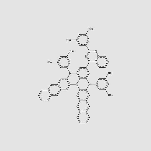 CC(C)(C)c1cc(-c2nc(-c3cc4c5c(c3)N(c3cc(C(C)(C)C)cc(C(C)(C)C)c3)c3cc6cc7ccccc7cc6cc3B5c3cc5cc6ccccc6cc5cc3N4c3cc(C(C)(C)C)cc(C(C)(C)C)c3)c3ccccc3n2)cc(C(C)(C)C)c1